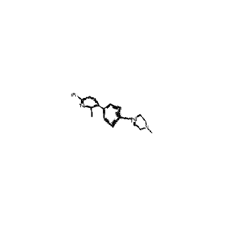 Cc1nc(C(C)C)ccc1-c1ccc(N2CCN(C)CC2)cc1